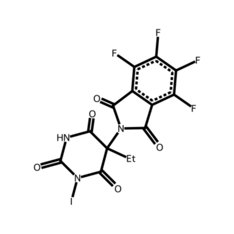 CCC1(N2C(=O)c3c(F)c(F)c(F)c(F)c3C2=O)C(=O)NC(=O)N(I)C1=O